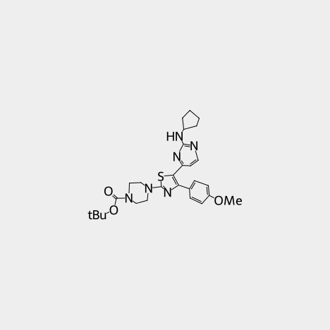 COc1ccc(-c2nc(N3CCN(C(=O)OC(C)(C)C)CC3)sc2-c2ccnc(NC3CCCC3)n2)cc1